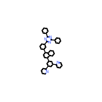 c1ccc(-c2nc(-c3ccccc3)nc(-c3cccc(-c4ccc(-c5cc(-c6ccccn6)cc(-c6ccccn6)c5)c5ccccc45)c3)n2)cc1